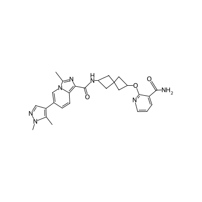 Cc1c(-c2ccc3c(C(=O)NC4CC5(C4)CC(Oc4ncccc4C(N)=O)C5)nc(C)n3c2)cnn1C